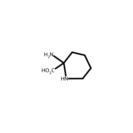 NC1(C(=O)O)CCCCN1